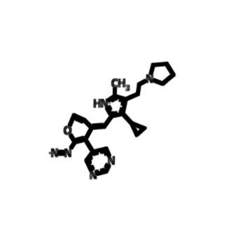 Cc1[nH]c(C=C2C=COC(N=[N])=C2c2cncnc2)c(C2CC2)c1CCN1CCCC1